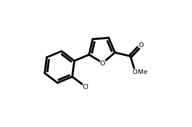 COC(=O)c1ccc(-c2ccccc2Cl)o1